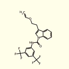 C=COCCc1cn(C(=O)Nc2cc(C(F)(F)F)cc(C(F)(F)F)c2)c2ccccc12